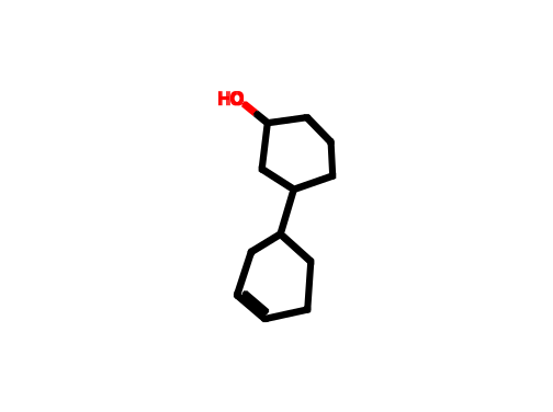 OC1CCCC(C2CC=CCC2)C1